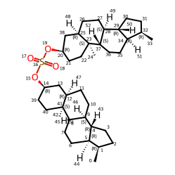 C[C@@H]1CC[C@@H]2[C@@H]1CC[C@H]1[C@H]2CC[C@@H]2C[C@H](OS(=O)(=O)O[C@@H]3CC[C@@]4(C)[C@H](CC[C@H]5[C@@H]6CC[C@@H](C)[C@H]6CC[C@@H]54)C3)CC[C@@]21C